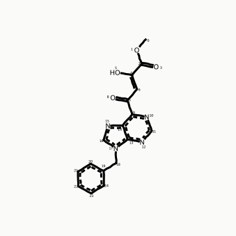 COC(=O)C(O)=CC(=O)c1ncnc2c1ncn2Cc1ccccc1